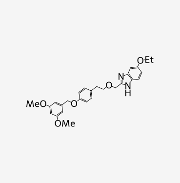 CCOc1ccc2[nH]c(COCCc3ccc(OCc4cc(OC)cc(OC)c4)cc3)nc2c1